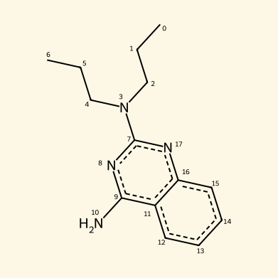 CCCN(CCC)c1nc(N)c2ccccc2n1